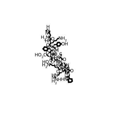 N=C(N)NCCC[C@H](NC(=O)[C@@H](CCCCN)NC(=O)[C@@H](Cc1c[nH]cn1)NC(=O)[C@@H](CC(=O)O)NC(=O)[C@@H](CC(=O)O)NC(=O)[C@H](CCC(=O)O)NC(=O)[C@@H](Cc1ccccc1)NC(=O)[C@H](Cc1ccc(O)cc1)NC(=O)[C@H](CCCCN)NC(=O)[C@H](N)Cc1c[nH]cn1)C(=O)N[C@@H](Cc1c[nH]c2ccccc12)C(N)=O